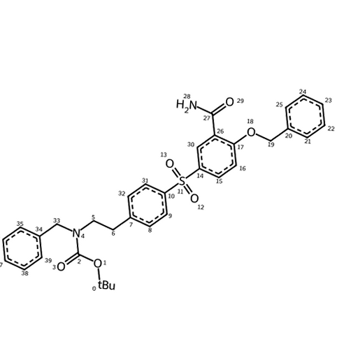 CC(C)(C)OC(=O)N(CCc1ccc(S(=O)(=O)c2ccc(OCc3ccccc3)c(C(N)=O)c2)cc1)Cc1ccccc1